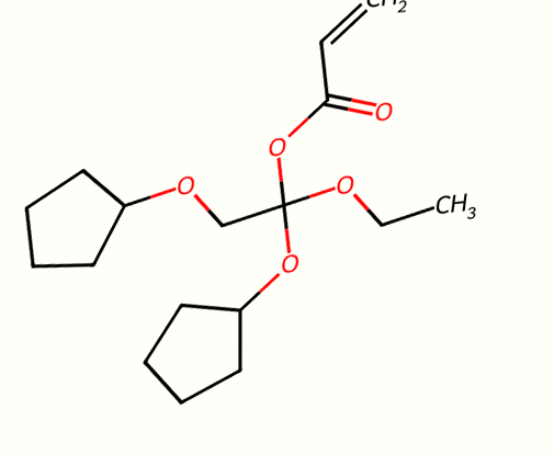 C=CC(=O)OC(COC1CCCC1)(OCC)OC1CCCC1